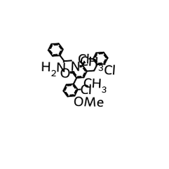 COc1cccc(-c2c(C)c(Cc3c(Cl)cccc3Cl)c(C)n(CC(N)c3ccccc3)c2=O)c1Cl